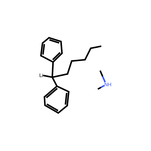 CNC.[Li][C](CCCCC)(c1ccccc1)c1ccccc1